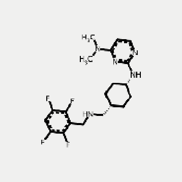 CN(C)c1ccnc(N[C@H]2CC[C@@H](CNCc3c(F)c(F)cc(F)c3F)CC2)n1